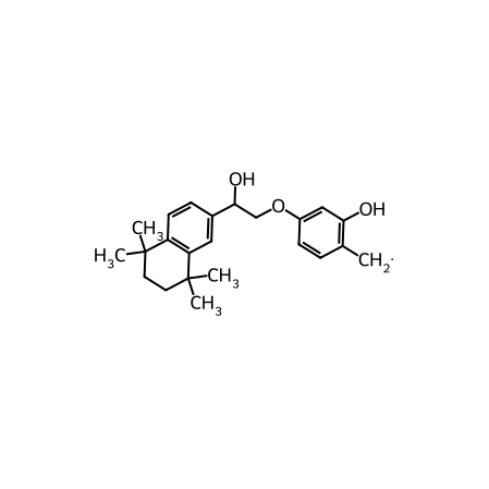 [CH2]c1ccc(OCC(O)c2ccc3c(c2)C(C)(C)CCC3(C)C)cc1O